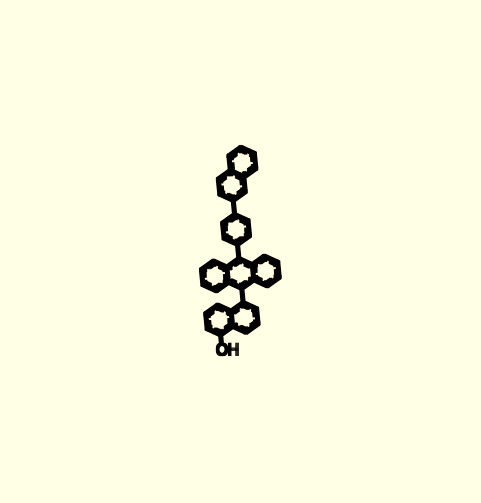 Oc1cccc2c(-c3c4ccccc4c(-c4ccc(-c5ccc6ccccc6c5)cc4)c4ccccc34)cccc12